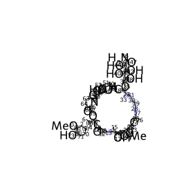 CO[C@@H]1C[C@H](C[C@@H](C)[C@@H]2CC(=O)[C@H](C)/C=C(\C)[C@@H](O)[C@@H](OC)C(=O)[C@H](C)C[C@H](C)/C=C/C=C/C=C(\C)C(OC[C@H](O)[C@H](O)[C@@H](O)[C@@H](O)C(N)=O)C[C@@H]3CC[C@@H](C)[C@@](O)(O3)C(=O)C(=O)N3CCCCC3C(=O)O2)CC[C@H]1O